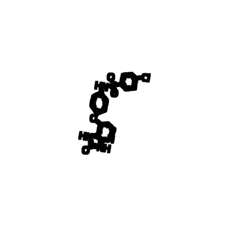 O=c1[nH]c2nccc(Oc3ccc(NS(=O)(=O)c4ccc(Cl)cc4)cc3)c2[nH]1